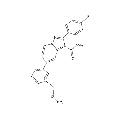 CNC(=O)c1c(-c2ccc(F)cc2)nn2ccc(-c3cccc(CON)c3)cc12